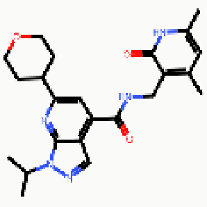 Cc1cc(C)c(CNC(=O)c2cc(C3CCOCC3)nc3c2cnn3C(C)C)c(=O)[nH]1